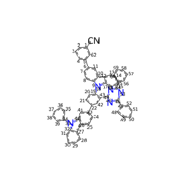 N#Cc1cccc(-c2ccc3c(c2)c2ccccc2n3-c2ccc(-c3ccc4c5ccccc5n(-c5ccccc5)c4c3)cc2-c2nc(-c3ccccc3)nc(-c3ccccc3)n2)c1